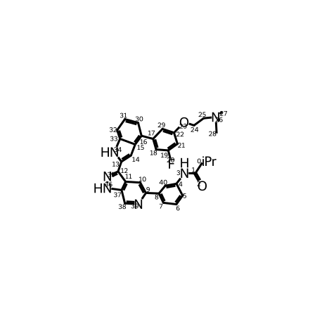 CC(C)C(=O)Nc1cccc(-c2cc3c(-c4cc5c(-c6cc(F)cc(OCCN(C)C)c6)cccc5[nH]4)n[nH]c3cn2)c1